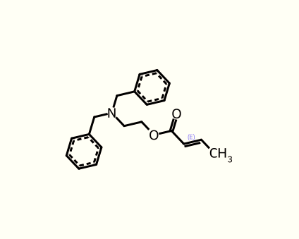 C/C=C/C(=O)OCCN(Cc1ccccc1)Cc1ccccc1